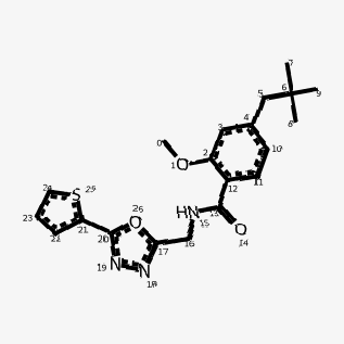 COc1cc(CC(C)(C)C)ccc1C(=O)NCc1nnc(-c2cccs2)o1